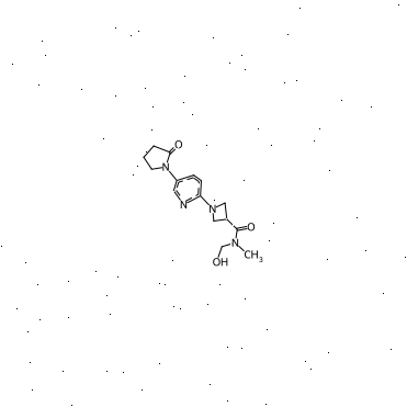 CN(CO)C(=O)C1CN(c2ccc(N3CCCC3=O)cn2)C1